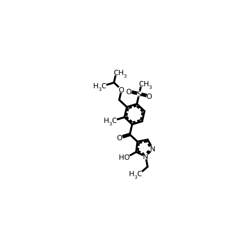 CCn1ncc(C(=O)c2ccc(S(C)(=O)=O)c(COC(C)C)c2C)c1O